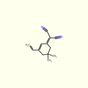 C=CC1=CC(=C(C#N)C#N)CC(C)(C)C1